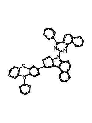 c1ccc(-c2nc(-n3c4ccc(-c5ccc6c(c5)Sc5ccccc5N6c5ccccc5)cc4c4c5ccccc5ccc43)nc3c2ccc2ccccc23)cc1